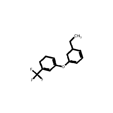 CCC1C=CC=C(OC2=CCCC(C(F)(F)F)=C2)C1